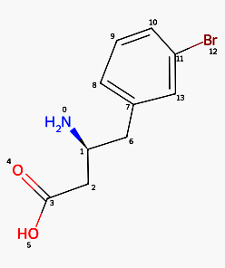 N[C@H](CC(=O)O)Cc1cccc(Br)c1